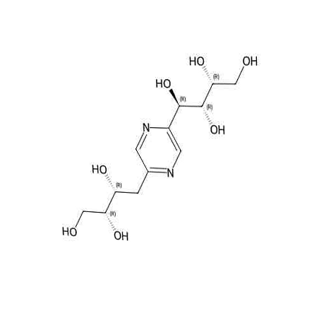 OC[C@@H](O)[C@H](O)[C@H](O)c1cnc(C[C@@H](O)[C@H](O)CO)cn1